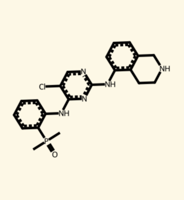 CP(C)(=O)c1ccccc1Nc1nc(Nc2cccc3c2CCNC3)ncc1Cl